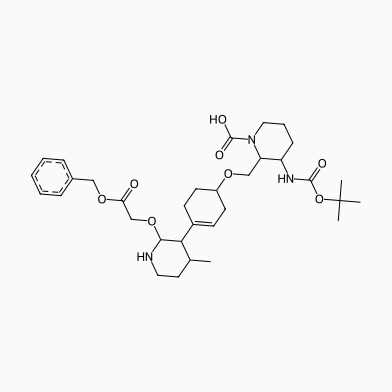 CC1CCNC(OCC(=O)OCc2ccccc2)C1C1=CCC(OCC2C(NC(=O)OC(C)(C)C)CCCN2C(=O)O)CC1